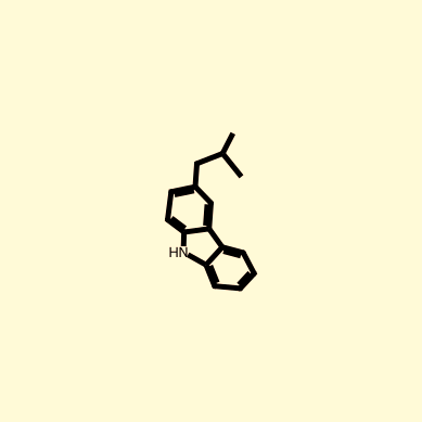 CC(C)Cc1ccc2[nH]c3ccccc3c2c1